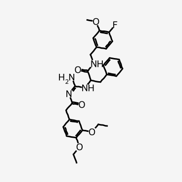 CCOc1ccc(CC(=O)N=C(N)NC(Cc2ccccc2)C(=O)NCc2ccc(F)c(OC)c2)cc1OCC